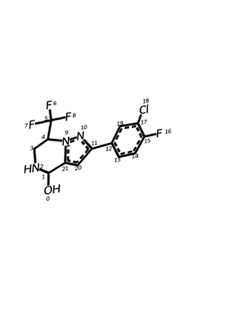 OC1NCC(C(F)(F)F)n2nc(-c3ccc(F)c(Cl)c3)cc21